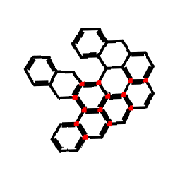 c1ccc(P(C2=C(C(C3c4ccccc4Cc4ccccc43)P(c3ccccc3)c3ccccc3)C3c4ccccc4C2c2ccccc23)c2ccccc2)cc1